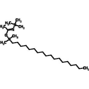 CCCCCCCCCCCCCCCCCC[Si](C)(C)OC(C)=N[Si](C)(C)C